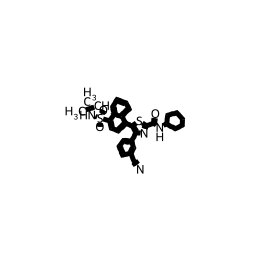 CC(C)(C)NS(=O)(=O)c1ccc(-c2sc(C(=O)NC3CCCCC3)nc2-c2cccc(C#N)c2)c2ccccc12